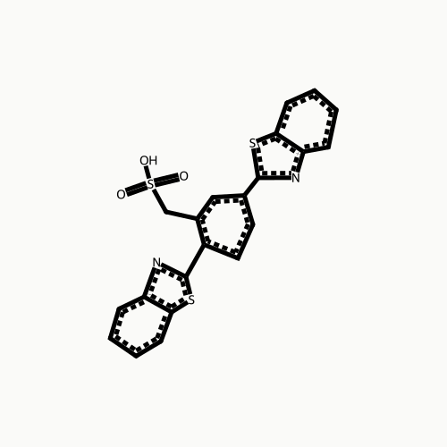 O=S(=O)(O)Cc1cc(-c2nc3ccccc3s2)ccc1-c1nc2ccccc2s1